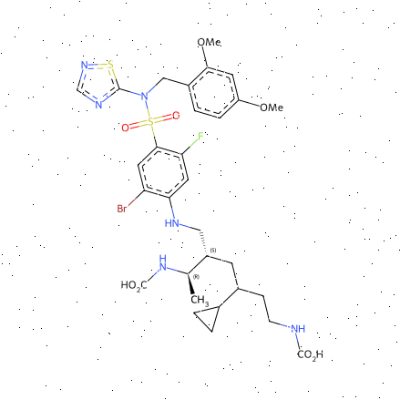 COc1ccc(CN(c2ncns2)S(=O)(=O)c2cc(Br)c(NC[C@H](CC(CCNC(=O)O)C3CC3)[C@@H](C)NC(=O)O)cc2F)c(OC)c1